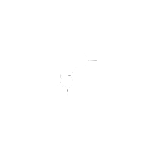 [CH2]C(C)CCc1nc(C)c(C)s1